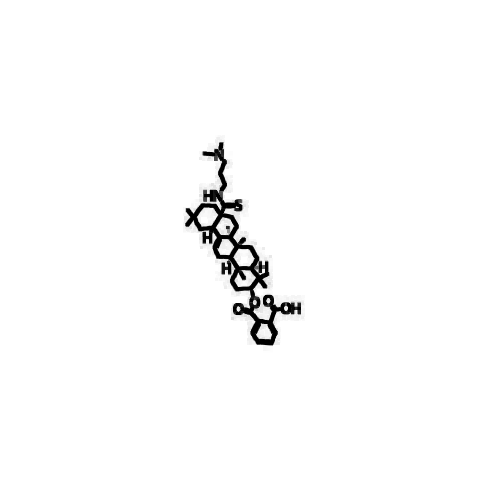 CN(C)CCCNC(=S)[C@]12CCC(C)(C)C[C@H]1C1=CC[C@@H]3[C@@]4(C)CC[C@H](OC(=O)c5ccccc5C(=O)O)C(C)(C)[C@@H]4CC[C@@]3(C)[C@]1(C)CC2